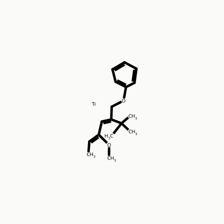 CC=C(C=C(COc1ccccc1)C(C)(C)C)OC.[Ti]